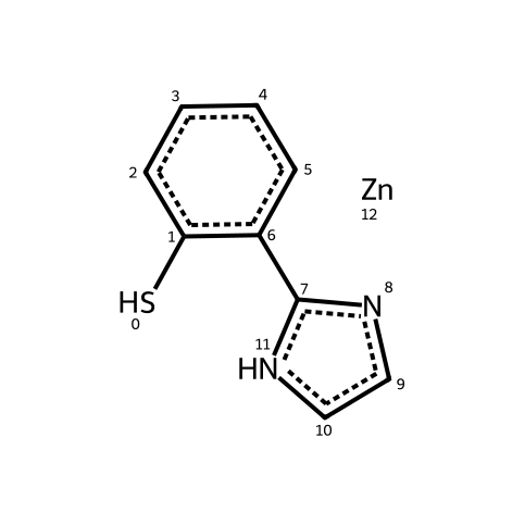 Sc1ccccc1-c1ncc[nH]1.[Zn]